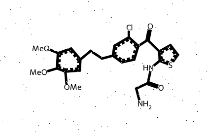 COc1cc(CCc2ccc(C(=O)c3ccsc3NC(=O)CN)c(Cl)c2)cc(OC)c1OC